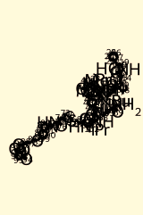 CC[C@H](C)[C@@H]([C@@H](CC(=O)N1CCC[C@H]1[C@H](OC)[C@@H](C)C(=O)N[C@H](C)[C@@H](O)c1ccccc1)OC)N(C)C(=O)[C@@H](NC(=O)[C@H](C(C)C)N(C)C(=O)OCc1ccc(NC(=O)[C@H](CCCNC(N)=O)NC(=O)[C@@H](NC(=O)CCSSC(C)(C)CC(=O)N/N=C2\CCc3cc(OCCCC(=O)ON4C(=O)CCC4=O)ccc32)C(C)C)cc1)C(C)C